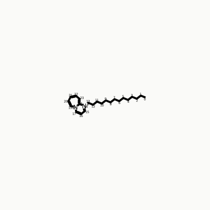 CCCCCCCCCCCCCC[N+]1=CC=CN2C=CC=CC=C21